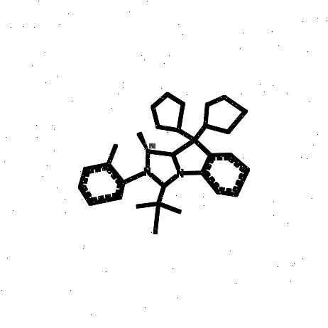 Cc1ccccc1N1C(C(C)(C)C)N2c3ccccc3C(C3CCCC3)(C3CCCC3)C2[C@@H]1C